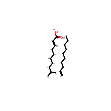 C=CCCCCCCCC.CC(C)CCCCCC=CC(=O)O